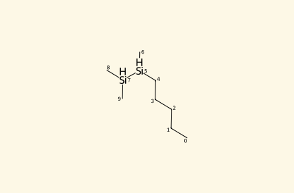 CCCCC[SiH](C)[SiH](C)C